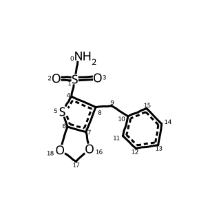 NS(=O)(=O)c1sc2c(c1Cc1ccccc1)OCO2